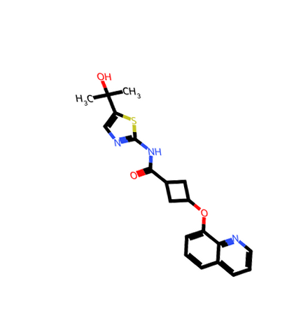 CC(C)(O)c1cnc(NC(=O)C2CC(Oc3cccc4cccnc34)C2)s1